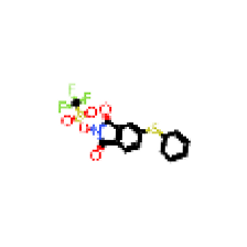 O=C1c2ccc(Sc3ccccc3)cc2C(=O)N1OS(=O)(=O)C(F)(F)F